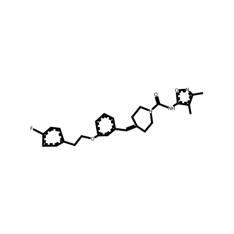 Cc1noc(NC(=O)N2CCC(=Cc3cccc(OCCc4ccc(F)cc4)c3)CC2)c1C